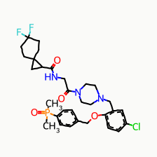 CP(C)(=O)c1ccc(COc2ccc(Cl)cc2CN2CCN(C(=O)CNC(=O)C3CC34CCC(F)(F)CC4)CC2)cc1